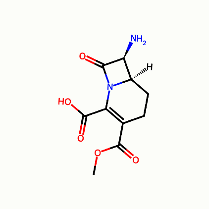 COC(=O)C1=C(C(=O)O)N2C(=O)[C@@H](N)[C@H]2CC1